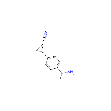 CC(N)c1ccc(C2CC2C#N)cc1